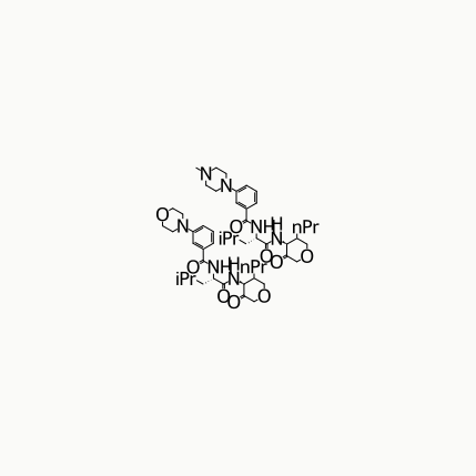 CCCC1COCC(=O)[C@H]1NC(=O)[C@H](CC(C)C)NC(=O)c1cccc(N2CCN(C)CC2)c1.CCCC1COCC(=O)[C@H]1NC(=O)[C@H](CC(C)C)NC(=O)c1cccc(N2CCOCC2)c1